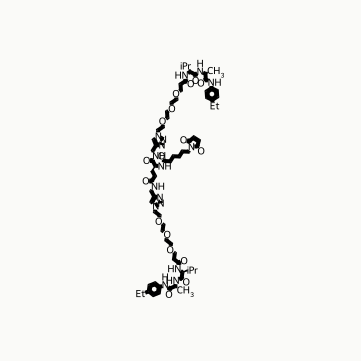 CCc1ccc(NC(=O)[C@H](C)NC(=O)[C@@H](NC(=O)CCOCCOCCOCCn2cc(CNC(=O)CC[C@H](NC(=O)CCCCCN3C(=O)C=CC3=O)C(=O)NCc3cn(CCOCCOCCOCCC(=O)N[C@H](C(=O)N[C@@H](C)C(=O)Nc4ccc(CC)cc4)C(C)C)nn3)nn2)C(C)C)cc1